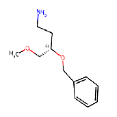 COC[C@H](CCN)OCc1ccccc1